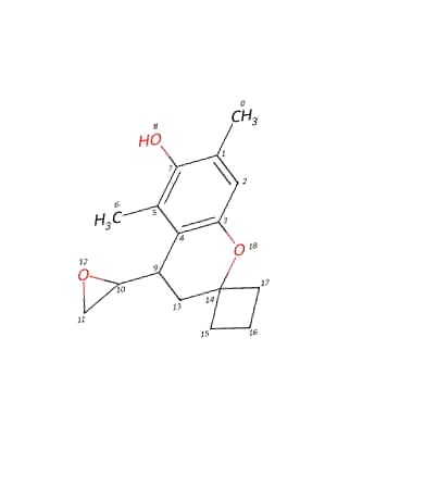 Cc1cc2c(c(C)c1O)C(C1CO1)CC1(CCC1)O2